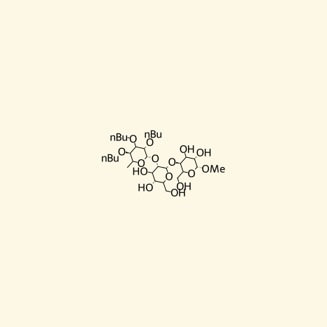 CCCCOC1[C@H](OCCCC)C(C)O[C@@H](O[C@H]2C(O)[C@@H](O)C(CO)O[C@H]2O[C@@H]2C(CO)O[C@@H](OC)[C@@H](O)C2O)[C@H]1OCCCC